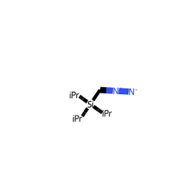 CC(C)[Si](C=[N+]=[N-])(C(C)C)C(C)C